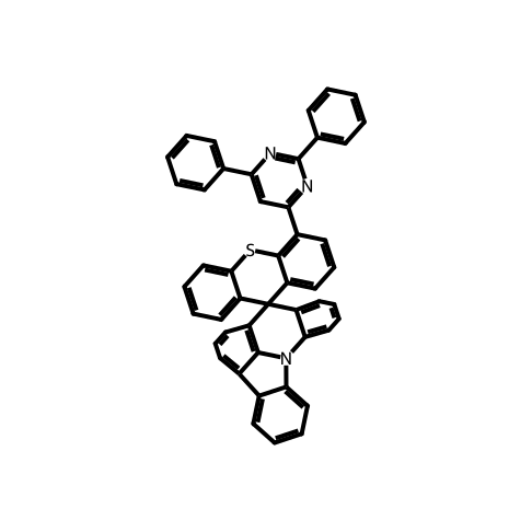 c1ccc(-c2cc(-c3cccc4c3Sc3ccccc3C43c4ccccc4-n4c5ccccc5c5cccc3c54)nc(-c3ccccc3)n2)cc1